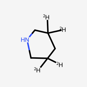 [2H]C1([2H])CNCC([2H])([2H])C1